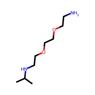 CC(C)NCCOCCOCCN